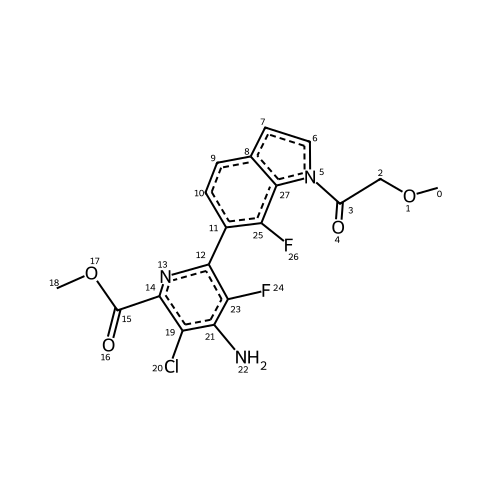 COCC(=O)n1ccc2ccc(-c3nc(C(=O)OC)c(Cl)c(N)c3F)c(F)c21